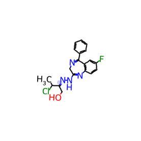 CC(Cl)/C(CO)=N/NC1=Nc2ccc(F)cc2C(c2ccccc2)=NC1